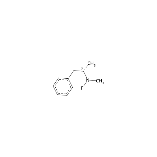 C[C@@H](Cc1ccccc1)N(C)F